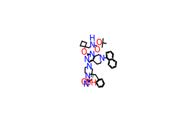 CC(C)(C)OC(=O)NCC1(Oc2nc3c(c(N4CCN(C(=O)O)[C@](CC#N)(Cc5ccccc5)C4)n2)CCN(c2cccc4ccccc24)C3)CCC1